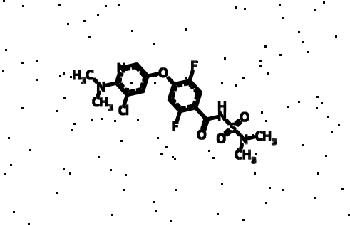 CN(C)c1ncc(Oc2cc(F)c(C(=O)NS(=O)(=O)N(C)C)cc2F)cc1Cl